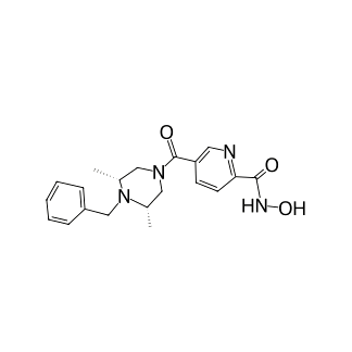 C[C@@H]1CN(C(=O)c2ccc(C(=O)NO)nc2)C[C@H](C)N1Cc1ccccc1